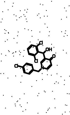 O=c1ccn(Cc2ccc(Cl)cc2)cc1C(O)c1c(Cl)cccc1Cl